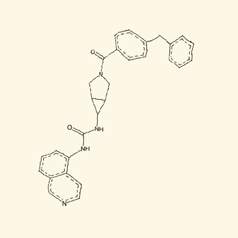 O=C(Nc1cccc2cnccc12)NC1C2CN(C(=O)c3ccc(Cc4ccccc4)cc3)CC21